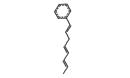 CC=CC=CCC=Cc1ccccc1